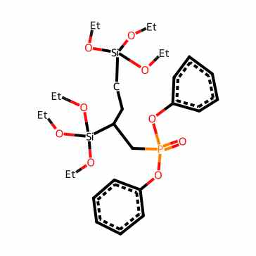 CCO[Si](CCC(CP(=O)(Oc1ccccc1)Oc1ccccc1)[Si](OCC)(OCC)OCC)(OCC)OCC